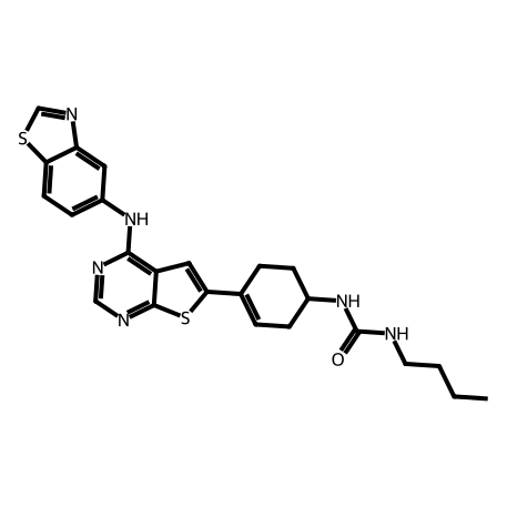 CCCCNC(=O)NC1CC=C(c2cc3c(Nc4ccc5scnc5c4)ncnc3s2)CC1